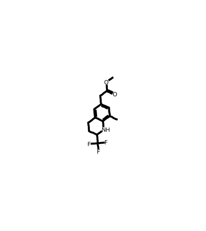 COC(=O)Cc1cc(C)c2c(c1)CCC(C(F)(F)F)N2